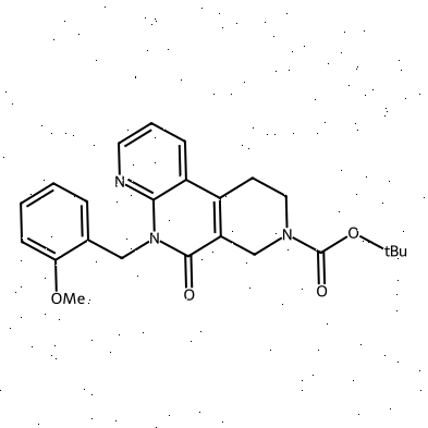 COc1ccccc1Cn1c(=O)c2c(c3cccnc31)CCN(C(=O)OC(C)(C)C)C2